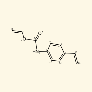 C=COC(=O)Nc1ccc(C=C)cc1